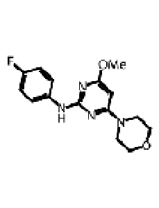 COc1cc(N2CCOCC2)nc(Nc2ccc(F)cc2)n1